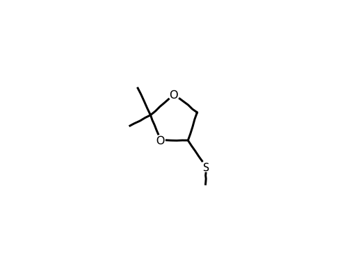 CSC1COC(C)(C)O1